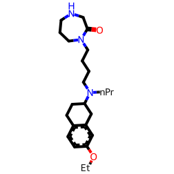 CCCN(CCCCN1CCCNCC1=O)C1CCc2ccc(OCC)cc2C1